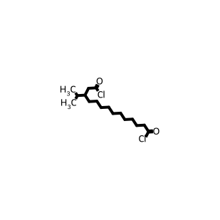 CC(C)C(CCCCCCCCCCC(=O)Cl)CC(=O)Cl